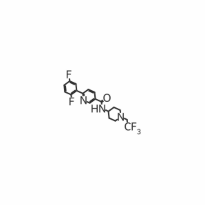 O=C(NC1CCN(CC(F)(F)F)CC1)c1ccc(-c2cc(F)ccc2F)nc1